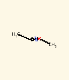 CCCCCCCCCCc1ccc(-c2ncc(OCCCCCCCCC)cn2)cc1